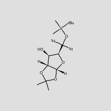 [2H]C([2H])(O[Si](C)(C)C(C)(C)C)[C@H]1O[C@@H]2OC(C)(C)O[C@@H]2[C@H]1O